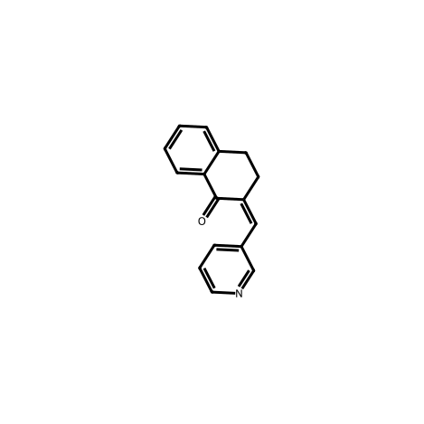 O=C1C(=Cc2cccnc2)CCc2ccccc21